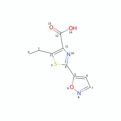 CCc1sc(-c2ccno2)nc1C(=O)O